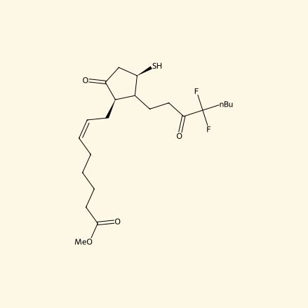 CCCCC(F)(F)C(=O)CCC1[C@H](S)CC(=O)[C@@H]1C/C=C\CCCCC(=O)OC